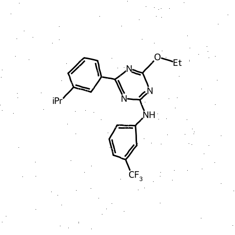 CCOc1nc(Nc2cccc(C(F)(F)F)c2)nc(-c2cccc(C(C)C)c2)n1